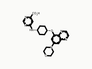 O=C(O)c1cc(N[C@H]2CC[C@@H](Oc3cc(N4CCOCC4)cc4nccnc34)CC2)ncn1